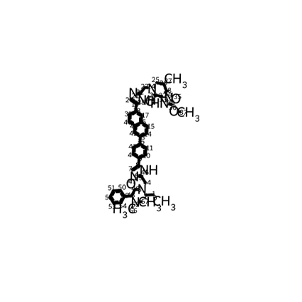 CCCN(Cc1ncc(-c2ccc(-c3ccc4cc(-c5cnc(CN(CC(C)C#N)C(=O)CNC(=O)OC)[nH]5)ccc4c3)cc2)[nH]1)C(=O)C(c1ccccc1)N(C)C